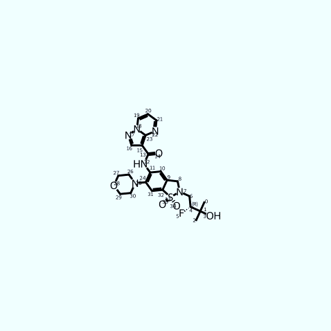 CC(C)(O)[C@H](F)CN1Cc2cc(NC(=O)c3cnn4cccnc34)c(N3CCOCC3)cc2S1(=O)=O